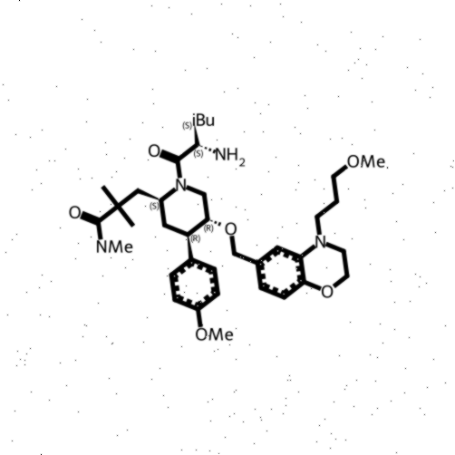 CC[C@H](C)[C@H](N)C(=O)N1C[C@H](OCc2ccc3c(c2)N(CCCOC)CCO3)[C@@H](c2ccc(OC)cc2)C[C@H]1CC(C)(C)C(=O)NC